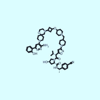 CC(C)[C@@H](C(=O)N1C[C@H](O)C[C@H]1C(=O)N[C@@H](C)c1ccc(C#N)cc1)c1cc(N2CCC(CN3CCC(OC4CC(N5CCOC6(CCN(c7cc(-c8ccccc8O)nnc7N)CC6)C5)C4)CC3)CC2)no1